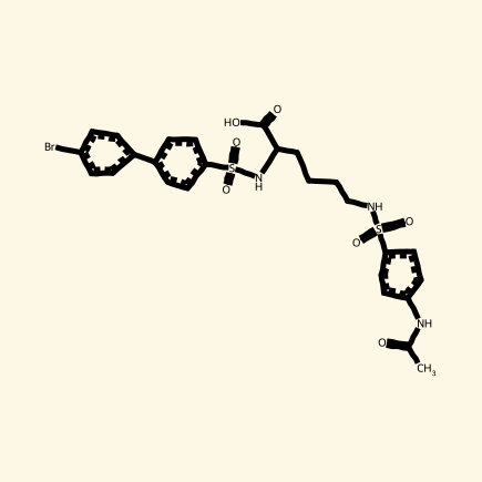 CC(=O)Nc1ccc(S(=O)(=O)NCCCCC(NS(=O)(=O)c2ccc(-c3ccc(Br)cc3)cc2)C(=O)O)cc1